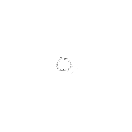 [O]S.c1ccncc1